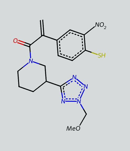 C=C(C(=O)N1CCCC(c2nnn(COC)n2)C1)c1ccc(S)c([N+](=O)[O-])c1